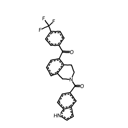 O=C(c1ccc(C(F)(F)F)cc1)c1cccc2c1CCN(C(=O)c1ccc3[nH]ccc3c1)C2